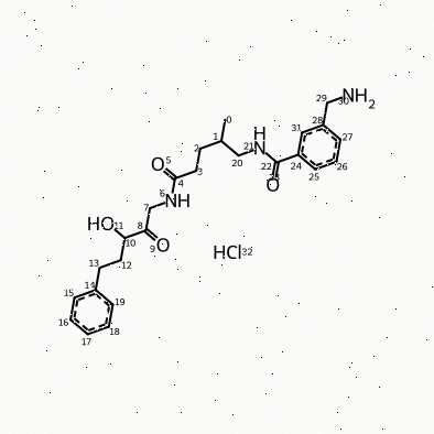 CC(CCC(=O)NCC(=O)C(O)CCc1ccccc1)CNC(=O)c1cccc(CN)c1.Cl